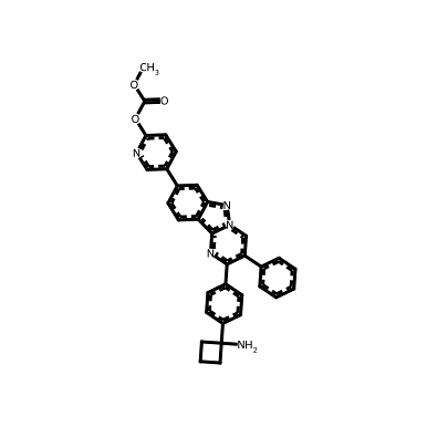 COC(=O)Oc1ccc(-c2ccc3c(c2)nn2cc(-c4ccccc4)c(-c4ccc(C5(N)CCC5)cc4)nc32)cn1